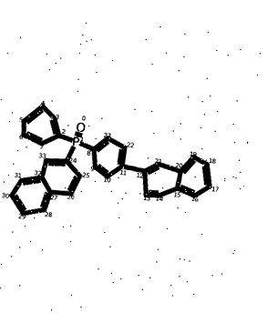 O=P(c1ccccc1)(c1ccc(-c2ccc3ccccc3c2)cc1)c1ccc2ccccc2c1